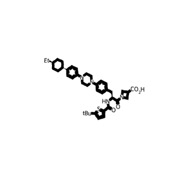 CC[C@H]1CC[C@H](c2ccc(N3CCN(c4ccc(C[C@H](NC(=O)c5ccc(C(C)(C)C)s5)C(=O)N5CC(C(=O)O)C5)cc4)CC3)cc2)CC1